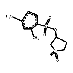 Cc1ccc(S(=O)(=O)OC2CCS(=O)(=O)C2)c(C)c1